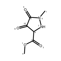 COC(=O)C1NN(C)C(=O)C1=O